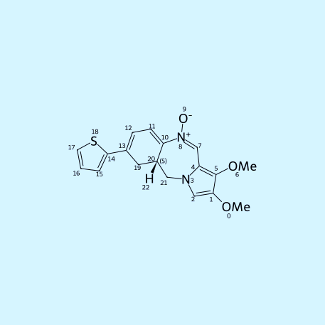 COc1cn2c(c1OC)C=[N+]([O-])C1=CC=C(c3cccs3)C[C@H]1C2